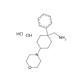 Cl.Cl.NCC1(c2ccccc2)CCC(N2CCOCC2)CC1